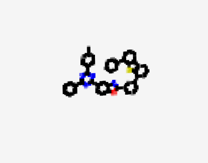 Cc1ccc(-c2nc(-c3ccccc3)nc(-c3ccc4oc(-c5cccc(-c6cccc7c6sc6c(-c8ccccc8)cccc67)c5)nc4c3)n2)cc1